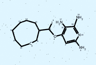 Nc1cc(OC(I)C2CCCCCCCC2)c(N)c(N)n1